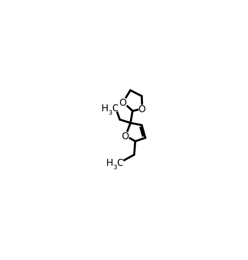 CCC1C=CC(CC)(C2OCCO2)O1